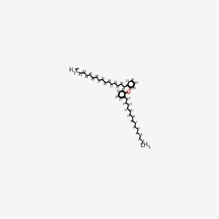 CCCCCCCCCCCCCCCCc1ccccc1Oc1ccccc1CCCCCCCCCCCCCCCC